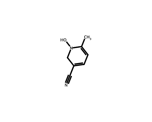 CC1=CC=C(C#N)CN1O